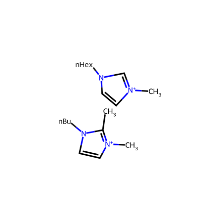 CCCCCCn1cc[n+](C)c1.CCCCn1cc[n+](C)c1C